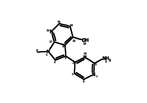 Cn1cc(-c2ccnc(N)n2)c2c(O)ccnc21